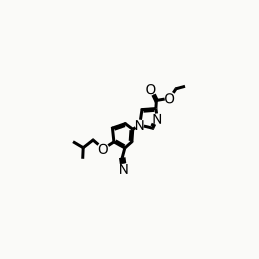 CCOC(=O)c1cn(-c2ccc(OCC(C)C)c(C#N)c2)cn1